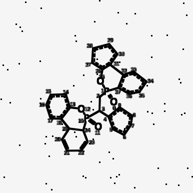 O=P1(CC(c2ccccc2)P2(=O)Oc3ccccc3C3C=CC=CC32)Oc2ccccc2-c2ccccc21